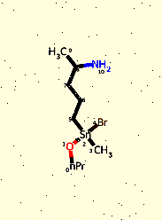 CCC[O][Sn]([CH3])([Br])[CH2]CCC(C)N